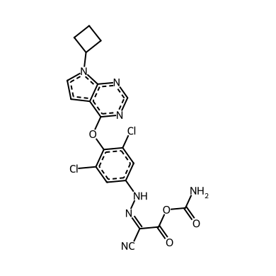 N#CC(=NNc1cc(Cl)c(Oc2ncnc3c2ccn3C2CCC2)c(Cl)c1)C(=O)OC(N)=O